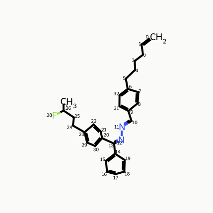 C=CCCCCc1ccc(C=NN=C(c2ccccc2)c2ccc(CCC(C)F)cc2)cc1